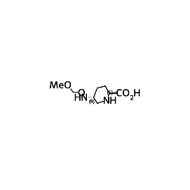 COCON[C@@H]1CC[C@@H](C(=O)O)NC1